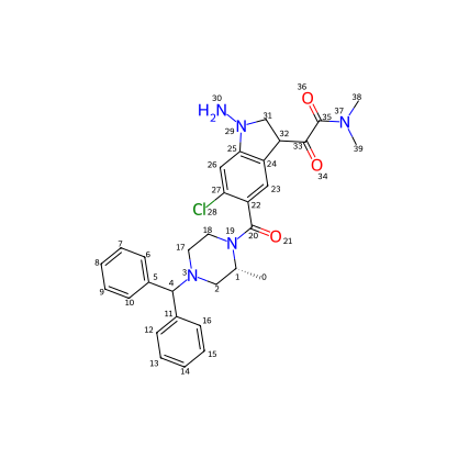 C[C@@H]1CN(C(c2ccccc2)c2ccccc2)CCN1C(=O)c1cc2c(cc1Cl)N(N)CC2C(=O)C(=O)N(C)C